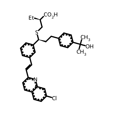 CC[C@H](CS[C@@H](CCc1ccc(C(C)(C)O)cc1)c1cccc(C=Cc2ccc3ccc(Cl)cc3n2)c1)C(=O)O